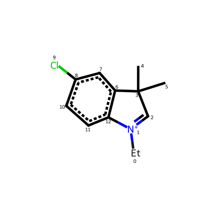 CC[N+]1=CC(C)(C)c2cc(Cl)ccc21